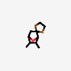 CC1C2CC3(SCCS3)C(O2)C1C